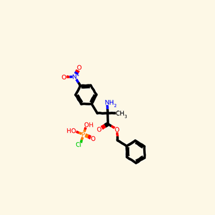 CC(N)(Cc1ccc([N+](=O)[O-])cc1)C(=O)OCc1ccccc1.O=P(O)(O)Cl